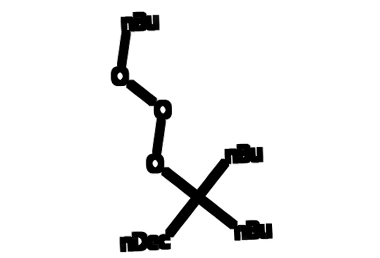 CCCCCCCCCCC(CCCC)(CCCC)OOOCCCC